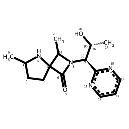 CC1CCC2(N1)C(=O)N([C@H](c1ncccn1)[C@@H](C)O)C2C